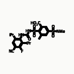 CNS(=O)(=O)c1cc(C)c(S(=O)(=O)NC(=O)Nc2c(C(C)C)cc(C#N)c(F)c2C(C)C)c(C(=O)O)c1